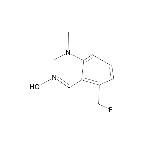 CN(C)c1cccc(CF)c1C=NO